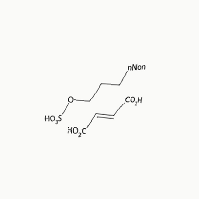 CCCCCCCCCCCCOS(=O)(=O)O.O=C(O)/C=C/C(=O)O